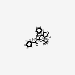 C[C@H]1OC[C@]2(c3ccccc3F)N=C(NC(=O)c3ccccc3)O[C@H](C(F)(F)F)[C@H]12